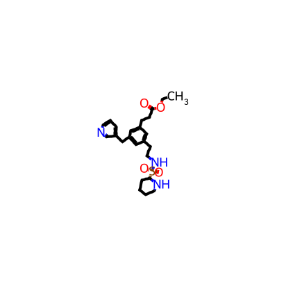 CCOC(=O)CCc1cc(CCNS(=O)(=O)C2CCCCN2)cc(Cc2cccnc2)c1